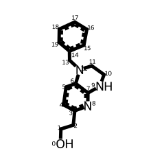 OCCc1ccc2c(n1)NCCN2Cc1ccccc1